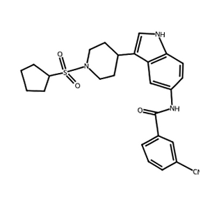 N#Cc1cccc(C(=O)Nc2ccc3[nH]cc(C4CCN(S(=O)(=O)C5CCCC5)CC4)c3c2)c1